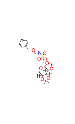 CC1(C)O[C@@H]2[C@@H](CO[C@@]3(COS(=O)(=O)N=COCc4ccccc4)OC(C)(C)O[C@@H]23)O1